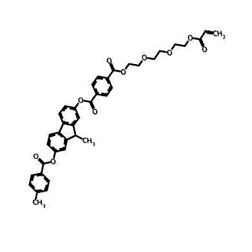 C=CC(=O)OCCOCCOCCOC(=O)c1ccc(C(=O)Oc2ccc3c(c2)C(C)c2cc(OC(=O)c4ccc(C)cc4)ccc2-3)cc1